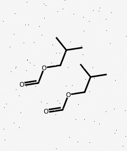 CC(C)COC=O.CC(C)COC=O